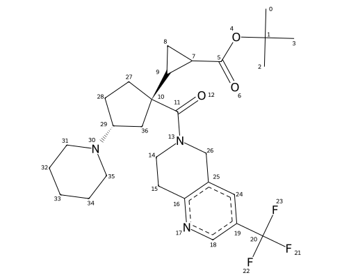 CC(C)(C)OC(=O)C1CC1[C@]1(C(=O)N2CCc3ncc(C(F)(F)F)cc3C2)CC[C@@H](N2CCCCC2)C1